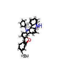 CC(C)(C)c1ccc2c(c1)oc1c2ccc2c1c1ccc3[nH]c4ccccc4c3c1n2-c1ccccc1